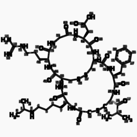 CC(C)NCCCC[C@@H]1NC(=O)CSC[C@@H](C(=O)C(C)C)NC(=O)[C@H](Cc2ccccc2)NC(=O)[C@@H]2CSSC[C@H](NC1=O)C(=O)N[C@@H](CCCNC(=N)N)C(=O)NCC(=O)N[C@@H](CC(=O)O)C(=O)N2